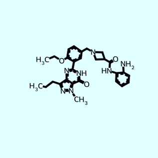 CCCc1nn(C)c2c(=O)[nH]c(-c3cc(CN4CC(C(=O)Nc5ccccc5N)C4)ccc3OCC)nc12